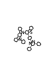 c1ccc(-c2cc(-c3ccccc3)nc(-c3ccc(-c4cc(-n5c6ccccc6c6cc7c8ccccc8n(-c8ccccc8)c7cc65)cc5c4sc4ccccc45)cc3)n2)cc1